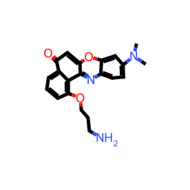 CN(C)c1ccc2nc3c4c(OCCCN)cccc4c(=O)cc-3oc2c1